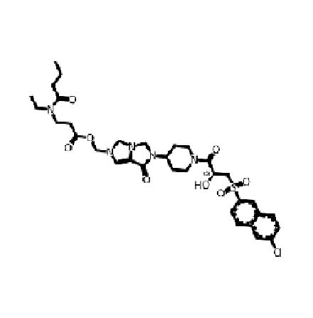 CCCC(=O)N(CC)CCC(=O)OCN1C=C2C(=O)N(C3CCN(C(=O)[C@H](O)CS(=O)(=O)c4ccc5cc(Cl)ccc5c4)CC3)CN2C1